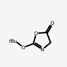 CC(C)(C)OC1=NCC(=O)O1